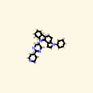 c1ccc(-n2ccc3c2ccc2c4ccccc4n(-c4cnc(-c5ccncc5)nc4)c23)cc1